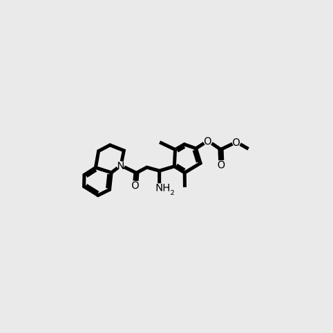 COC(=O)Oc1cc(C)c(C(N)CC(=O)N2CCCc3ccccc32)c(C)c1